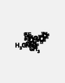 CCOC(CC)(c1cc(OCc2ccc3ccccc3c2)cc(C(F)(F)F)c1)c1nccs1